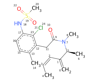 C=C(/C=C\C)[C@H](C)N(C)C(=O)Cc1c(C)ccc(NS(C)(=O)=O)c1Cl